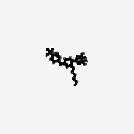 CCOCOCc1cc(Oc2ccc(C(F)(F)F)cc2)ccc1B1OC(C)(C)C(C)(C)O1